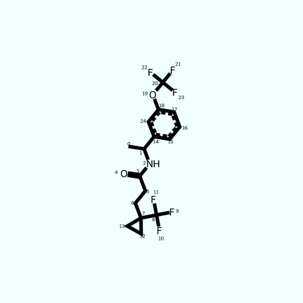 CC(NC(=O)CCC1(C(F)(F)F)CC1)c1cccc(OC(F)(F)F)c1